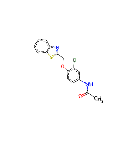 CC(=O)Nc1ccc(OCc2nc3ccccc3s2)c(Cl)c1